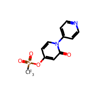 O=c1cc(OS(=O)(=O)C(F)(F)F)ccn1-c1ccncc1